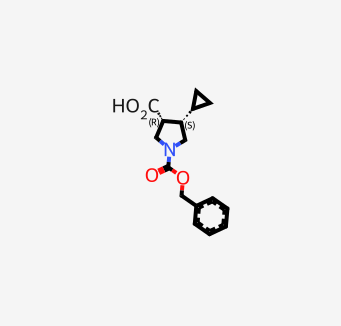 O=C(O)[C@H]1CN(C(=O)OCc2ccccc2)C[C@H]1C1CC1